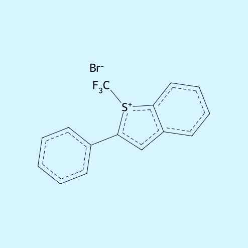 FC(F)(F)[s+]1c(-c2ccccc2)cc2ccccc21.[Br-]